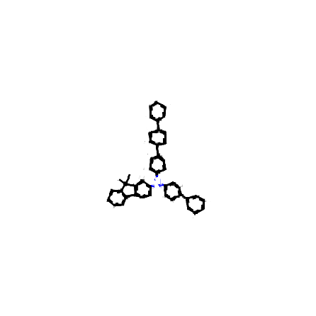 CC1(C)c2ccccc2-c2ccc(N(c3ccc(-c4ccccc4)cc3)c3ccc(-c4ccc(-c5ccccc5)cc4)cc3)cc21